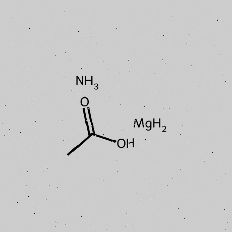 CC(=O)O.N.[MgH2]